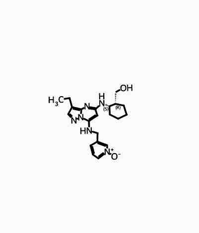 CCc1cnn2c(NCc3ccc[n+]([O-])c3)cc(N[C@H]3CCCC[C@H]3CO)nc12